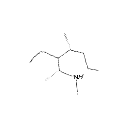 CCC[C@@H](C)C(CC)[C@@H](C)NC